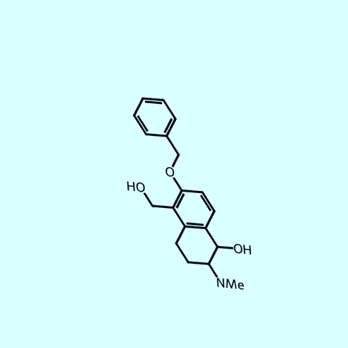 CNC1CCc2c(ccc(OCc3ccccc3)c2CO)C1O